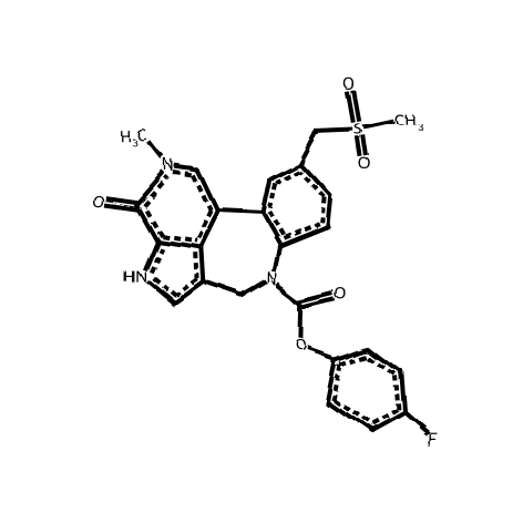 Cn1cc2c3c(c[nH]c3c1=O)CN(C(=O)Oc1ccc(F)cc1)c1ccc(CS(C)(=O)=O)cc1-2